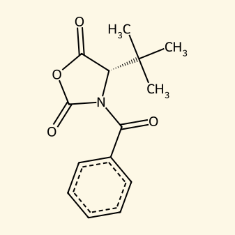 CC(C)(C)[C@H]1C(=O)OC(=O)N1C(=O)c1ccccc1